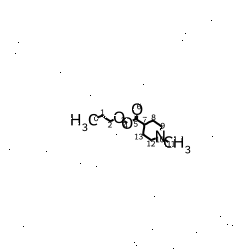 CCCOOC(=O)C1CCN(C)CC1